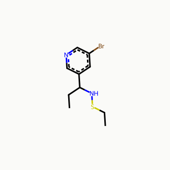 CCSNC(CC)c1cncc(Br)c1